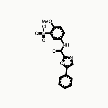 COc1ccc(NC(=O)c2ncc(-c3ccccc3)o2)cc1S(=O)(=O)Cl